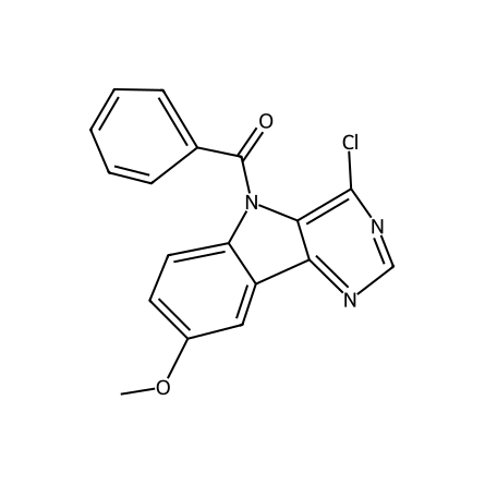 COc1ccc2c(c1)c1ncnc(Cl)c1n2C(=O)c1ccccc1